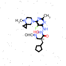 Cc1nc(NNC(=O)[C@@H](CC2CCCC2)CN(O)C=O)c(F)c(N2CCN(C)C3(CC3)C2)n1